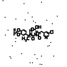 C[C@@H](NC(=O)N1C(=O)[C@H](Cc2cncc(Cl)c2)[C@H]1C(=O)O)c1ccc2c(c1)OC(F)(F)O2